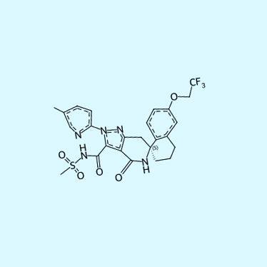 Cc1ccc(-n2nc3c(c2C(=O)NS(C)(=O)=O)C(=O)N[C@@]2(CCCc4cc(OCC(F)(F)F)ccc42)C3)nc1